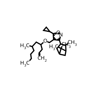 C=CCC(CC(C)CCCC)OCc1c(C2CC3CC(C2C)C3(C)C)noc1C1CC1